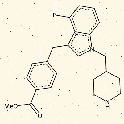 COC(=O)c1ccc(Cc2cn(CC3CCNCC3)c3cccc(F)c23)cc1